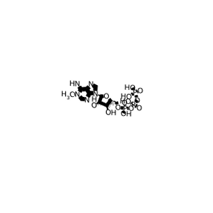 Cn1cnc2c(ncn2[C@@H]2O[C@H](COP(=O)(O)OP(=O)(O)OP(=O)(O)O)[C@@H](O)[C@H]2O)c1=N